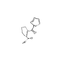 O=C(O)C1=C(C(=O)n2cccc2)CCC1